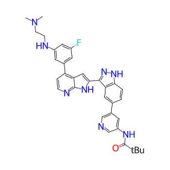 CN(C)CCNc1cc(F)cc(-c2ccnc3[nH]c(-c4n[nH]c5ccc(-c6cncc(NC(=O)C(C)(C)C)c6)cc45)cc23)c1